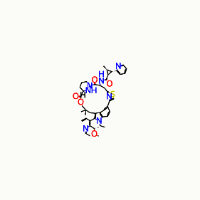 C=C/C(=C(\N=C/C)[C@H](C)OC)c1c2c3cc(ccc3n1CC)-c1csc(n1)C[C@H](NC(=O)[C@H]1[C@@H](C)[C@@H]1c1ccccn1)C(=O)N1CCC[C@H](N1)C(=O)OCC(C)(C)C2